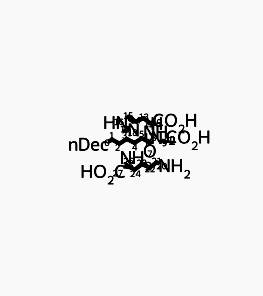 CCCCCCCCCCCCCCCC(=O)NCC(=O)O.NC(Cc1c[nH]cn1)C(=O)O.NCCCCC(N)C(=O)O